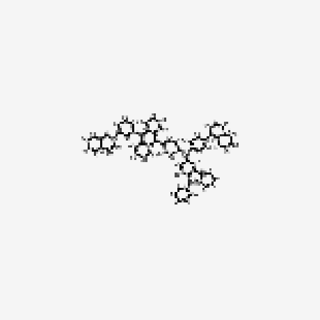 c1ccc(-n2c3ccccc3c3cc(N(c4ccc(-c5cccc6ccccc56)cc4)c4ccc(-c5c6ccccc6c(-c6cccc(-c7ccc8ccccc8c7)c6)c6ccccc56)cc4)ccc32)cc1